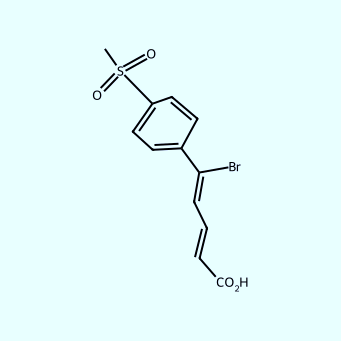 CS(=O)(=O)c1ccc(C(Br)=CC=CC(=O)O)cc1